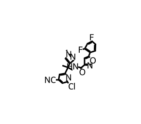 Cn1cc(C(C)(CNC(=O)c2cc(-c3ccc(F)cc3F)on2)c2cc(C#N)cc(Cl)n2)cn1